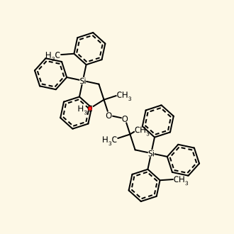 Cc1ccccc1[Si](CC(C)(C)OOC(C)(C)C[Si](c1ccccc1)(c1ccccc1)c1ccccc1C)(c1ccccc1)c1ccccc1